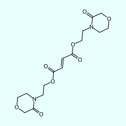 O=C(/C=C/C(=O)OCCN1CCOCC1=O)OCCN1CCOCC1=O